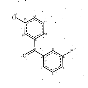 O=C(c1cccc(F)c1)c1cccc(Cl)c1